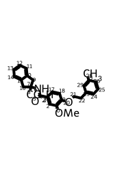 COc1cc(C(=O)NC2(C(=O)O)Cc3ccccc3C2)ccc1OCCc1cccc(C)c1